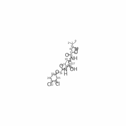 CC(C)c1cc(C(=O)NC23CCC(NC(=O)COc4ccc(Cl)c(Cl)c4)(CC2)C(O)C3)on1